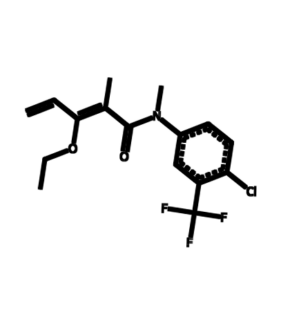 C=C/C(OCC)=C(\C)C(=O)N(C)c1ccc(Cl)c(C(F)(F)F)c1